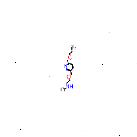 CC(C)CCOCc1ccc(COCCNC(C)C)cn1